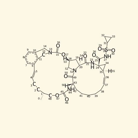 C[C@@H]1CC/C=C/c2cccc3c2CN(C3)C(=O)O[C@@H]2C[C@H]3C(=O)N[C@]4(C(=O)NS(=O)(=O)C5CC5)C[C@H]4/C=C\CCCCC[C@H](NC(=O)OC1)C(=O)N3C2